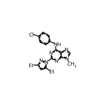 CCc1cc(CC)n(-c2nc(Nc3ccc(Cl)cc3)c3ncn(C)c3n2)n1